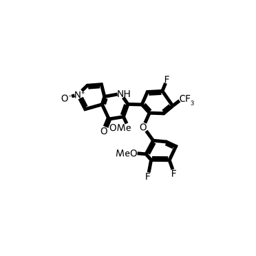 COc1c(Oc2cc(C(F)(F)F)c(F)cc2-c2[nH]c3cc[n+]([O-])cc3c(=O)c2OC)ccc(F)c1F